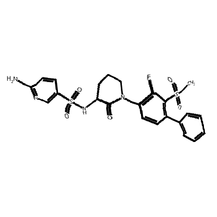 CS(=O)(=O)c1c(-c2ccccc2)ccc(N2CCCC(NS(=O)(=O)c3ccc(N)nc3)C2=O)c1F